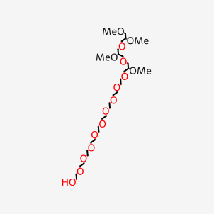 COCC(COCC(COCC(COCCOCCOCCOCCOCCOCCOCCOCCOCCO)OC)OC)OC